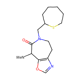 CNC1C(=O)N(CC2CCCCCS2)CCc2ncoc21